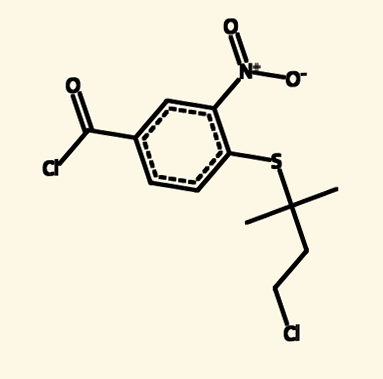 CC(C)(CCCl)Sc1ccc(C(=O)Cl)cc1[N+](=O)[O-]